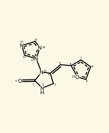 O=C1NCC(=Cc2ccco2)N1n1cncn1